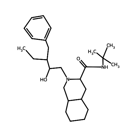 CCC(Cc1ccccc1)C(O)CN1CC2CCCCC2CC1C(=O)NC(C)(C)C